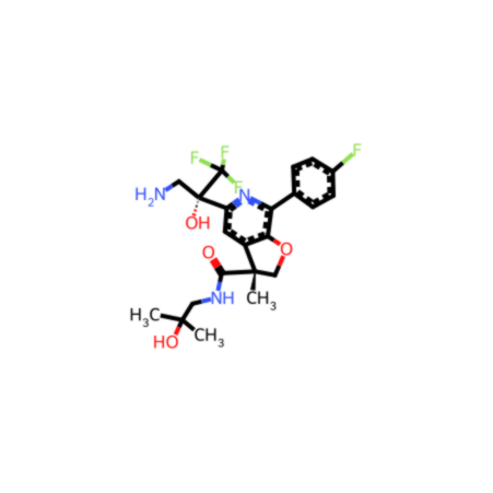 CC(C)(O)CNC(=O)[C@@]1(C)COc2c1cc([C@@](O)(CN)C(F)(F)F)nc2-c1ccc(F)cc1